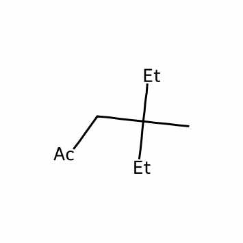 [CH2]C(=O)CC(C)(CC)CC